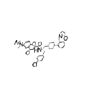 CC(=O)N(C)c1ccc2oc(C(=O)N[C@H](C=C3CCC(c4ccccc4CN4CCCC4=O)CC3)Cc3ccc(Cl)cc3)cc(=O)c2c1